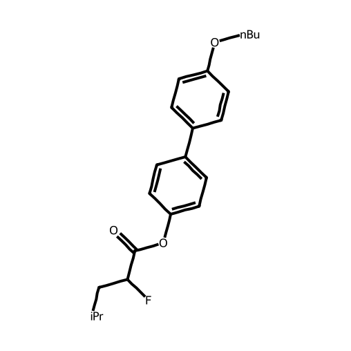 CCCCOc1ccc(-c2ccc(OC(=O)C(F)CC(C)C)cc2)cc1